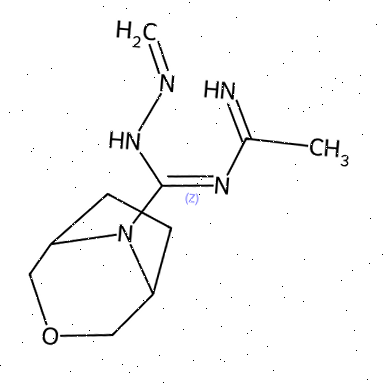 C=NN/C(=N\C(C)=N)N1C2CCC1COC2